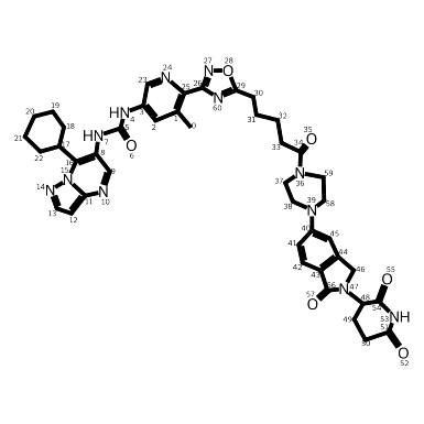 Cc1cc(NC(=O)Nc2cnc3ccnn3c2C2CCCCC2)cnc1-c1noc(CCCCC(=O)N2CCN(c3ccc4c(c3)CN(C3CCC(=O)NC3=O)C4=O)CC2)n1